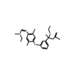 C=C(C)CC(C)(OCC)c1cccc(Oc2cc(C)c(/N=C\N(C)CC)cc2C)c1